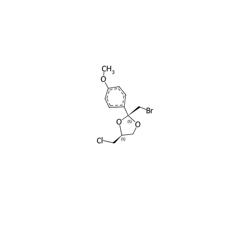 COc1ccc([C@]2(CBr)OC[C@@H](CCl)O2)cc1